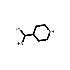 CC(C)C([NH])C1CCNCC1